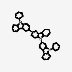 C1=Cc2c(c3cc(-c4ccc5c(c4)c4ccccc4n5-c4ccccc4)ccc3n2-c2ccc3c4ccccc4n(-c4ccccc4)c3c2)CC1